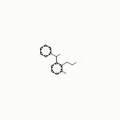 CCCc1c(C)cccc1C(C)c1ccccc1